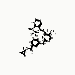 CN(c1ncccc1CNc1nc(Nc2cccc(C(=O)NC3CC3)c2)ncc1C(F)(F)F)S(C)(=O)=O